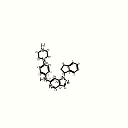 c1ccc2c(c1)CC[C@@H]2n1ncc2cnc(Nc3ccc(N4CCNCC4)cc3)cc21